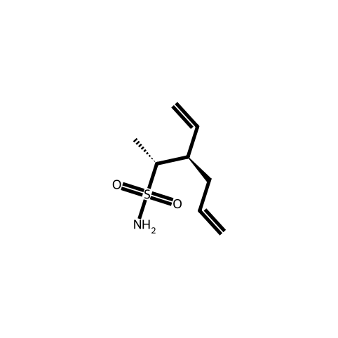 C=CC[C@H](C=C)[C@@H](C)S(N)(=O)=O